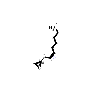 CCCCC/C=C\C[C@H]1CO1